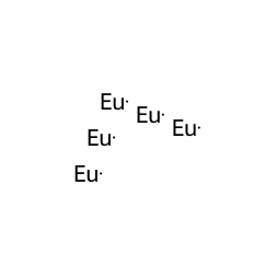 [Eu].[Eu].[Eu].[Eu].[Eu]